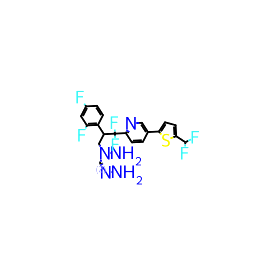 N/N=C\N(N)CC(c1ccc(F)cc1F)C(F)(F)c1ccc(-c2ccc(C(F)F)s2)cn1